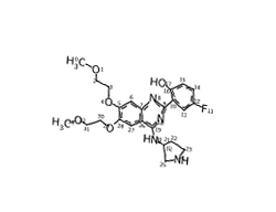 COCCOc1cc2nc(-c3cc(F)ccc3O)nc(N[C@H]3CCNC3)c2cc1OCCOC